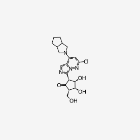 O=C1[C@H](CO)[C@H](O)[C@H](O)[C@@H]1c1ncc2c(N3CC4CCCC4C3)cc(Cl)nn12